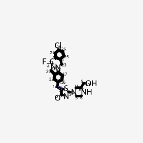 O=C1N=C(N2CCNC(CO)C2)S/C1=C\c1ccc2c(cnn2Cc2ccc(Cl)cc2C(F)(F)F)c1